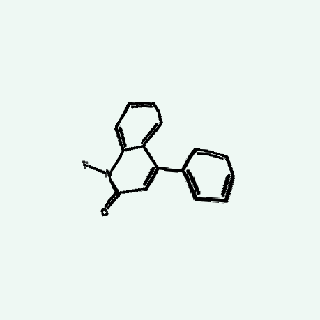 O=c1cc(-c2ccccc2)c2ccccc2n1F